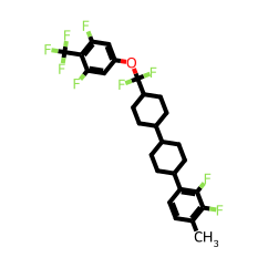 Cc1ccc(C2CCC(C3CCC(C(F)(F)Oc4cc(F)c(C(F)(F)F)c(F)c4)CC3)CC2)c(F)c1F